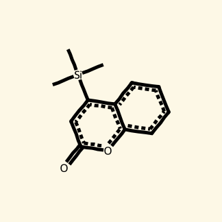 C[Si](C)(C)c1cc(=O)oc2ccccc12